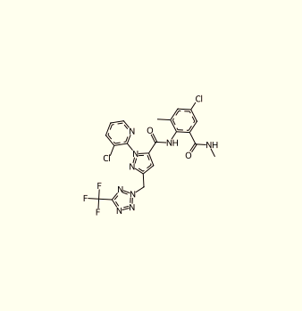 CNC(=O)c1cc(Cl)cc(C)c1NC(=O)c1cc(Cn2nnc(C(F)(F)F)n2)nn1-c1ncccc1Cl